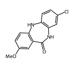 COc1ccc2c(c1)C(=O)Nc1cc(Cl)ccc1N2